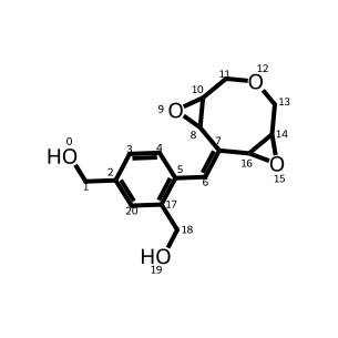 OCc1ccc(C=C2C3OC3COCC3OC23)c(CO)c1